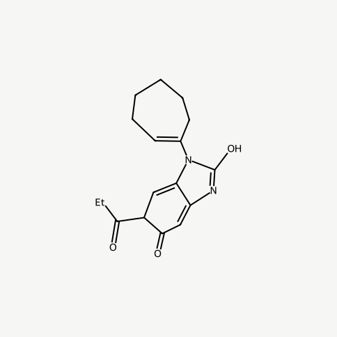 CCC(=O)C1C=c2c(nc(O)n2C2=CCCCCC2)=CC1=O